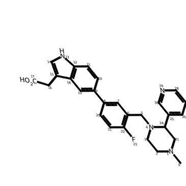 CN1CCN(Cc2cc(-c3ccc4[nH]cc(CC(=O)O)c4c3)ccc2F)C(c2cccnc2)C1